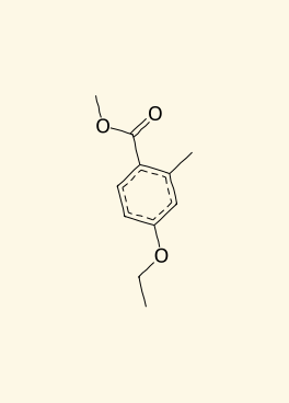 CCOc1ccc(C(=O)OC)c(C)c1